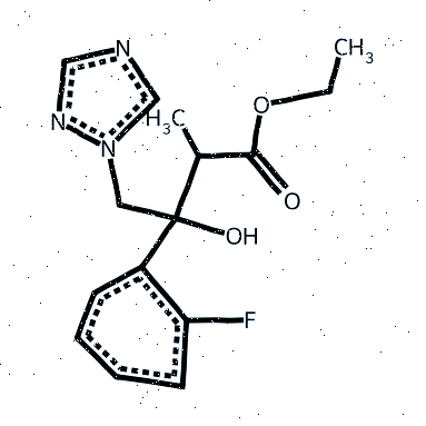 CCOC(=O)C(C)C(O)(Cn1cncn1)c1ccccc1F